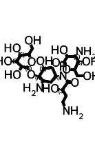 NCC[C@H](O)C(=O)N[C@@H]1CC(N)[C@@H](O[C@H]2OC(CO)[C@@H](O)[C@H](O)C2O)[C@H](O)C1O[C@H]1OC(CO)[C@@H](O)[C@H](N)C1O